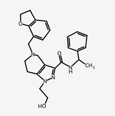 CC(NC(=O)c1nn(CCO)c2c1CN(Cc1cccc3c1OCC3)CC2)c1ccccc1